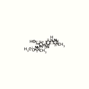 CCOc1cc(C)n(-c2nc(-n3cnc4cc(Nc5ccc(C)nn5)ccc43)ccc2CCO)n1